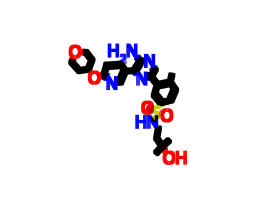 Cc1ccc(S(=O)(=O)NCCC(C)(C)O)cc1-c1cnc(N)c(-c2ccc(OC3CCOCC3)nc2)n1